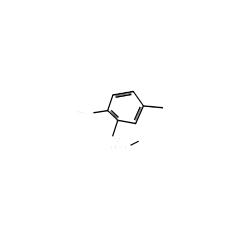 CCCCCCl.COc1ccc(C)cc1OC